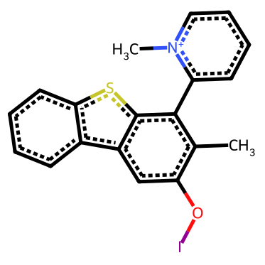 Cc1c(OI)cc2c(sc3ccccc32)c1-c1cccc[n+]1C